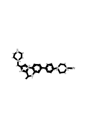 CC1Oc2cc(-c3ccc(N4CCN(C(C)C)CC4)cc3)ccc2-n2cc(CN3CCOCC3)nc21